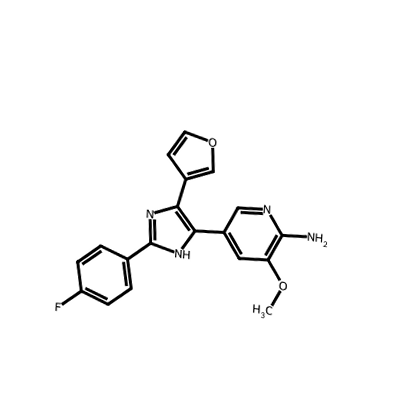 COc1cc(-c2[nH]c(-c3ccc(F)cc3)nc2-c2ccoc2)cnc1N